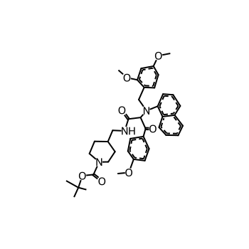 COc1ccc(C(=O)C(C(=O)NCC2CCN(C(=O)OC(C)(C)C)CC2)N(Cc2ccc(OC)cc2OC)c2cccc3ccccc23)cc1